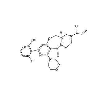 C=CC(=O)N1CCN2C(=O)c3c(cc(-c4c(O)cccc4F)nc3N3CCOCC3)OC[C@H]2C1